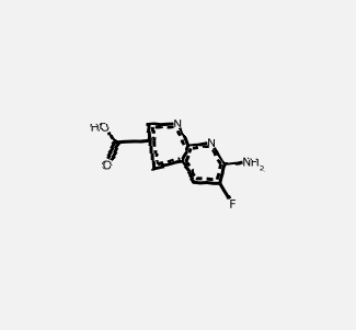 Nc1nc2ncc(C(=O)O)cc2cc1F